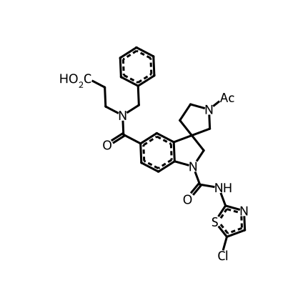 CC(=O)N1CCC2(C1)CN(C(=O)Nc1ncc(Cl)s1)c1ccc(C(=O)N(CCC(=O)O)Cc3ccccc3)cc12